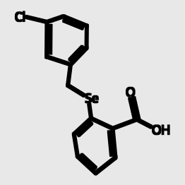 O=C(O)c1ccccc1[Se]Cc1cccc(Cl)c1